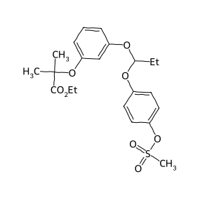 CCOC(=O)C(C)(C)Oc1cccc(OC(CC)Oc2ccc(OS(C)(=O)=O)cc2)c1